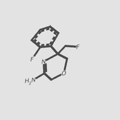 NC1=NC(CF)(c2c[c]ccc2F)COC1